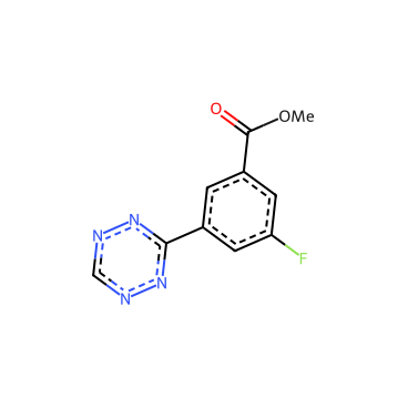 COC(=O)c1cc(F)cc(-c2nncnn2)c1